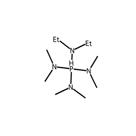 CCN(CC)[PH](N(C)C)(N(C)C)N(C)C